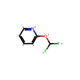 FC(F)Oc1ccccn1